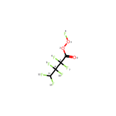 O=C(OOF)C(F)(F)C(F)(F)C(F)F